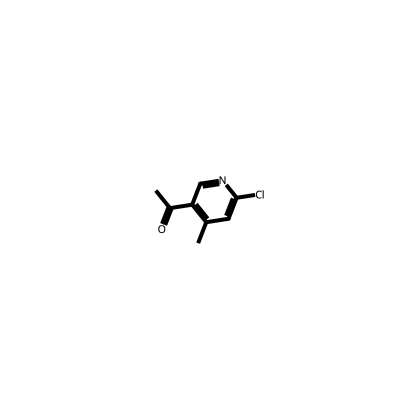 CC(=O)c1cnc(Cl)cc1C